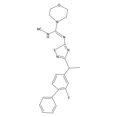 CC(c1ccc(-c2ccccc2)c(F)c1)c1nsc(/N=C(\NC#N)N2CCOCC2)n1